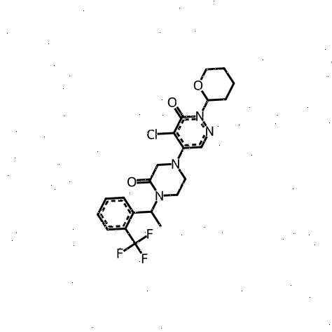 CC(c1ccccc1C(F)(F)F)N1CCN(c2cnn(C3CCCCO3)c(=O)c2Cl)CC1=O